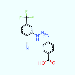 N#Cc1ccc(C(F)(F)F)cc1N/N=N\c1ccc(C(=O)O)cc1